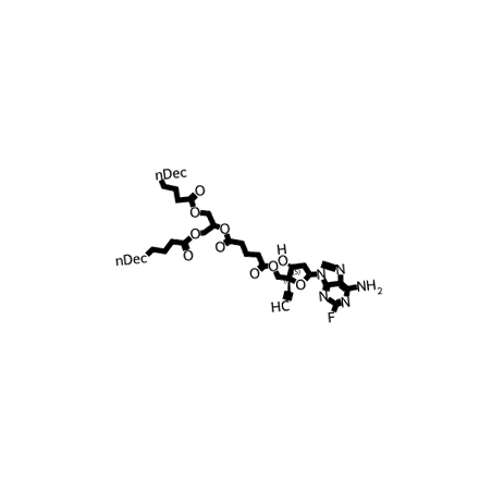 C#C[C@]1(COC(=O)CCCC(=O)OC(COC(=O)CCCCCCCCCCCCC)COC(=O)CCCCCCCCCCCCC)OC(n2cnc3c(N)nc(F)nc32)C[C@@H]1O